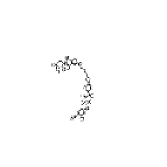 CC1(C)[C@H](NC(=O)c2ccc(N3CC(CCCCOc4ccc5c(c4)C(=O)N(C4CCC(=O)NC4=O)C5=O)C3)nc2)C(C)(C)[C@H]1Oc1ccc(C#N)c(Cl)c1